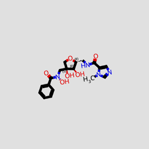 Cn1cncc1C(=O)NC[C@H]1OC[C@@](O)(CN(O)C(=O)c2ccccc2)[C@@H]1O